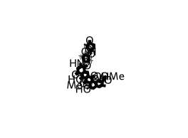 COC(=O)c1c(C)cc2c(c1O)[C@]1(O)C(=O)c3cc4c(c(O)c3C(=O)[C@]1(OC)[C@H](O)C2)C(=O)C=C(NC1O[C@@H](C)[C@H](O[C@@H]2C=CC(=O)[C@H](C)O2)[C@@H](O)[C@H]1C)C4=O